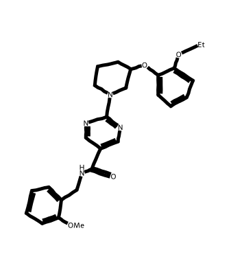 CCOc1ccccc1OC1CCCN(c2ncc(C(=O)NCc3ccccc3OC)cn2)C1